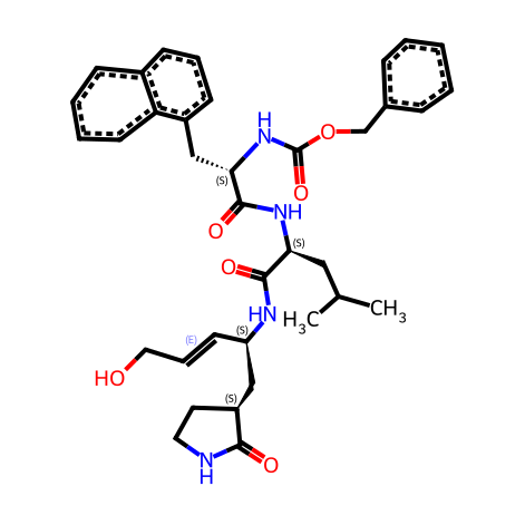 CC(C)C[C@H](NC(=O)[C@H](Cc1cccc2ccccc12)NC(=O)OCc1ccccc1)C(=O)N[C@H](/C=C/CO)C[C@@H]1CCNC1=O